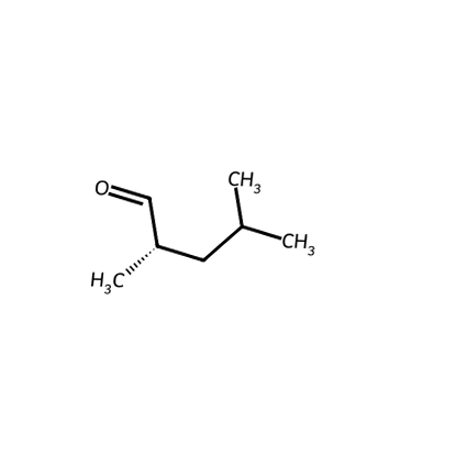 CC(C)C[C@H](C)C=O